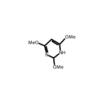 CO[C]1N=C(OC)C=C(OC)N1